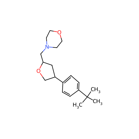 CC(C)(C)c1ccc(C2COC(CN3CCOCC3)C2)cc1